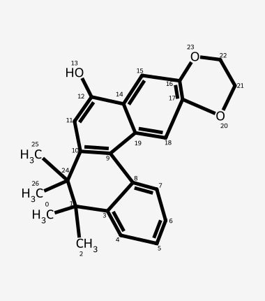 CC1(C)c2ccccc2-c2c(cc(O)c3cc4c(cc23)OCCO4)C1(C)C